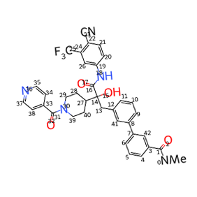 CNC(=O)c1cccc(-c2cccc(CC(O)(C(=O)Nc3ccc(C#N)c(C(F)(F)F)c3)C3CCN(C(=O)c4ccncc4)CC3)c2)c1